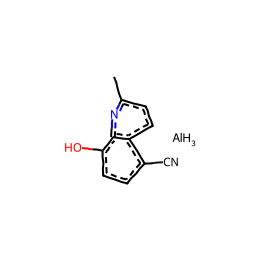 Cc1ccc2c(C#N)ccc(O)c2n1.[AlH3]